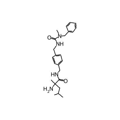 CC(C)CC(C)(N)C(=O)NCc1ccc(CNC(=O)N(C)Cc2ccccc2)cc1